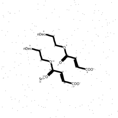 CCCCCCCCCCCCOC(=O)C=CC(=O)[O-].CCCCCCCCCCCCOC(=O)C=CC(=O)[O-].[Sr+2]